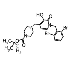 CC(C)(C)OC(=O)N1CCN(Cc2ccn(Cc3c(Br)cccc3Br)c(=O)c2O)CC1